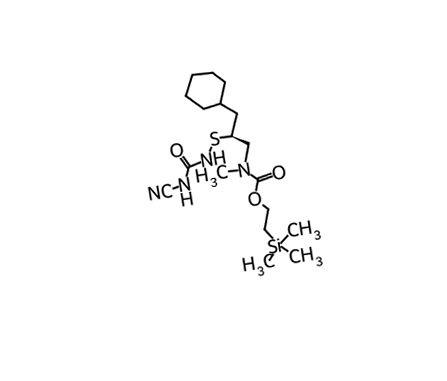 CN(C[C@H](CC1CCCCC1)SNC(=O)NC#N)C(=O)OCC[Si](C)(C)C